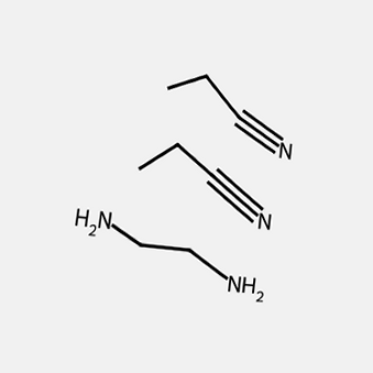 CCC#N.CCC#N.NCCN